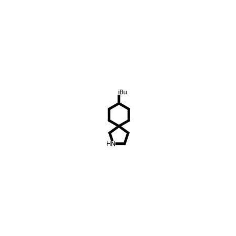 CCC(C)C1CCC2(CCNC2)CC1